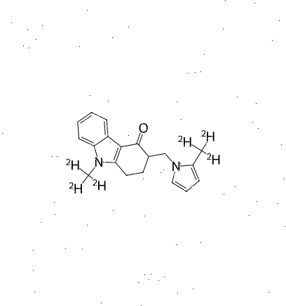 [2H]C([2H])([2H])c1cccn1CC1CCc2c(c3ccccc3n2C([2H])([2H])[2H])C1=O